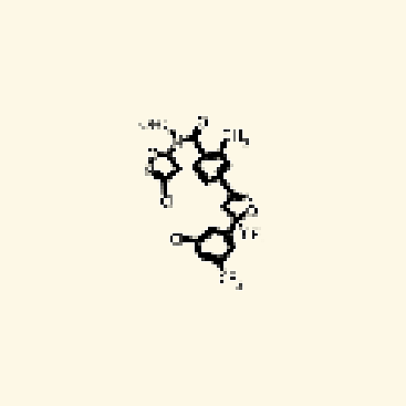 Cc1cc(C2=NO[C@@](c3cc(Cl)cc(C(F)(F)F)c3)(C(F)(F)F)C2)ccc1C(=O)N(C=O)C1CC(Cl)=NO1